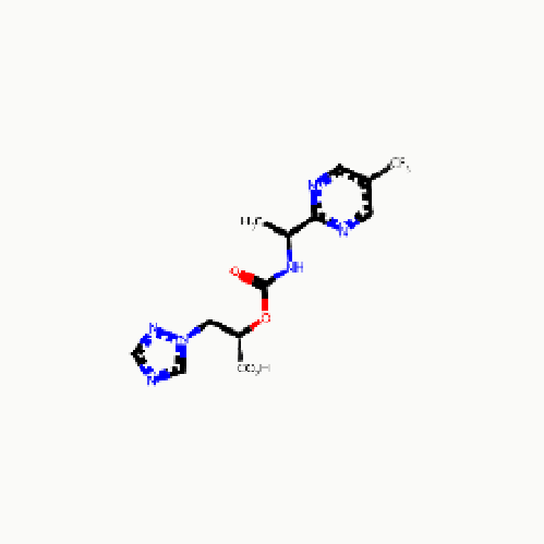 CC(NC(=O)O[C@H](Cn1cncn1)C(=O)O)c1ncc(C(F)(F)F)cn1